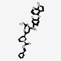 Nc1nc(Nc2ccc(Oc3ccnc4[nH]ccc34)c(F)c2)cc(C2CCCN(C(=O)OCc3ccccc3)C2)n1